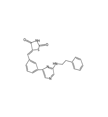 O=C1NC(=O)C(=Cc2cccc(-c3cncc(NCCc4ccccc4)n3)c2)S1